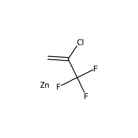 C=C(Cl)C(F)(F)F.[Zn]